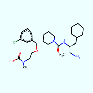 C[C@@H](N)[C@H](CC1CCCCC1)NC(=O)N1CCC[C@@H](C(OCCN(C)C(=O)O)c2cccc(Cl)c2)C1